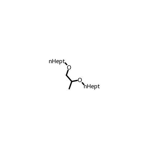 CCCCCCCOCC(C)OCCCCCCC